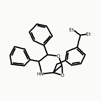 CCC(CC)c1cccc(CC23NC(c4ccccc4)C(c4ccccc4)OC2O3)c1